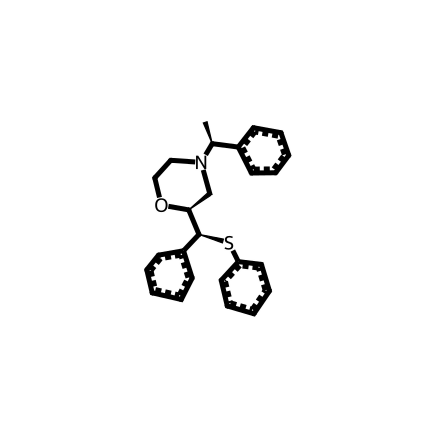 C[C@@H](c1ccccc1)N1CCO[C@H]([C@@H](Sc2ccccc2)c2ccccc2)C1